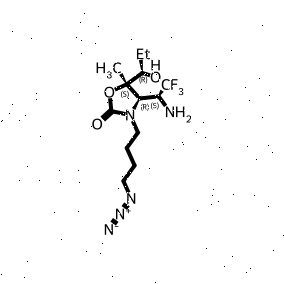 CC[C@@H](O)[C@@]1(C)OC(=O)N(CCCCN=[N+]=[N-])[C@@H]1[C@H](N)C(F)(F)F